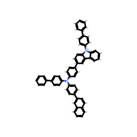 c1ccc(-c2ccc(N(c3ccc(-c4ccc5ccccc5c4)cc3)c3ccc(-c4ccc5c(c4)c4ccccc4n5-c4ccc(-c5ccccc5)cc4)cc3)cc2)cc1